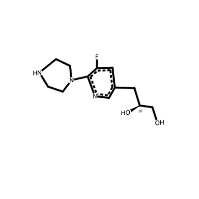 OC[C@@H](O)Cc1cnc(N2CCNCC2)c(F)c1